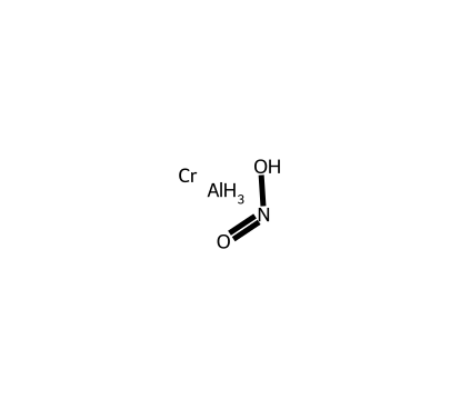 O=NO.[AlH3].[Cr]